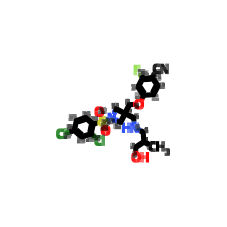 CC(CO)CNCC1(COc2ccc(C#N)c(F)c2)CN(S(=O)(=O)c2ccc(Cl)cc2Cl)C1